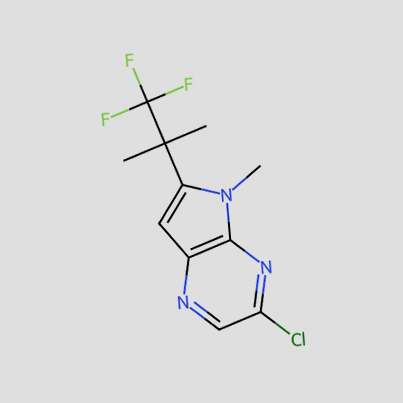 Cn1c(C(C)(C)C(F)(F)F)cc2ncc(Cl)nc21